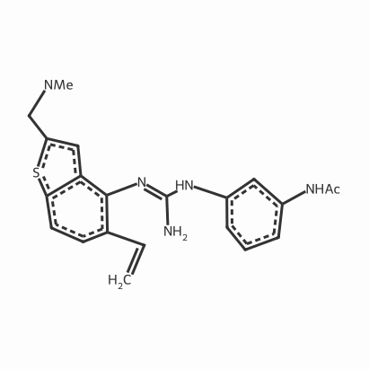 C=Cc1ccc2sc(CNC)cc2c1/N=C(\N)Nc1cccc(NC(C)=O)c1